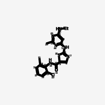 CCNc1cc(Nc2ncc(C(=O)Nc3c(C)cccc3Cl)s2)nc(C)n1